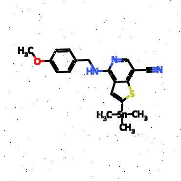 COc1ccc(CNc2ncc(C#N)c3s[c]([Sn]([CH3])([CH3])[CH3])cc23)cc1